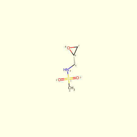 CS(=O)(=O)NC[C@H]1CO1